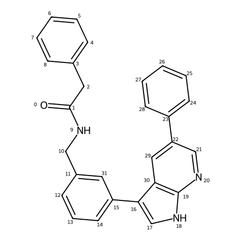 O=C(Cc1ccccc1)NCc1cccc(-c2c[nH]c3ncc(-c4ccccc4)cc23)c1